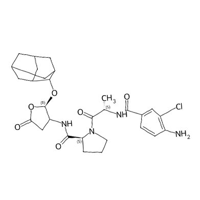 C[C@H](NC(=O)c1ccc(N)c(Cl)c1)C(=O)N1CCC[C@H]1C(=O)NC1CC(=O)O[C@H]1OC1C2CC3CC(C2)CC1C3